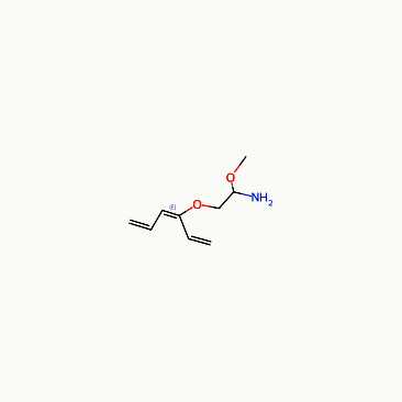 C=C/C=C(\C=C)OCC(N)OC